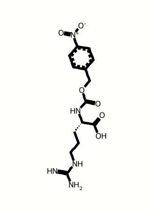 N=C(N)NCCC[C@H](NC(=O)OCc1ccc([N+](=O)[O-])cc1)C(=O)O